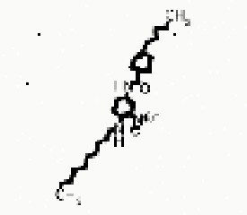 CCCCCCCCCCNc1ccc(NC(=O)c2ccc(CCCCC)cc2)cc1[N+](=O)[O-]